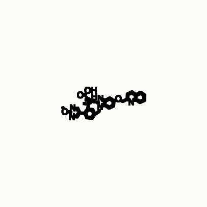 COc1ncc(-c2ccc3cc2C2(C)[C@H](C(=O)O)[C@@H]2c2nc4cc(OCc5ccc6ccccc6n5)ccc4n2C3)cn1